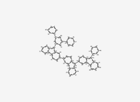 c1ccc(-c2cc(-n3c4ccccc4c4ccc(-c5ccc6c(c5)c5ccccc5n6-c5ccc6c(c5)c5ncncc5n6-c5ccccc5)cc43)nc(-c3ccccc3)n2)cc1